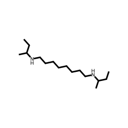 CCC(C)NCCCCCCCCNC(C)CC